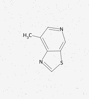 Cc1cncc2scnc12